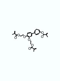 C=C(C)C(=O)OCCOc1ccc(C2=CCC=C(OC(=O)C(=C)C)C=C2)cc1OCCOC(=O)C(=C)C